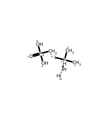 CC(C)[PH](C)(C)I.CP(=O)(O)O.I